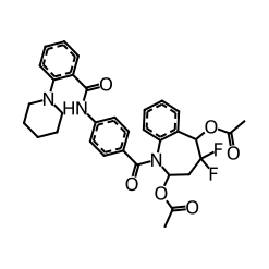 CC(=O)OC1CC(F)(F)C(OC(C)=O)c2ccccc2N1C(=O)c1ccc(NC(=O)c2ccccc2N2CCCCC2)cc1